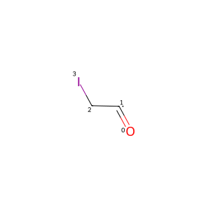 O=[C]CI